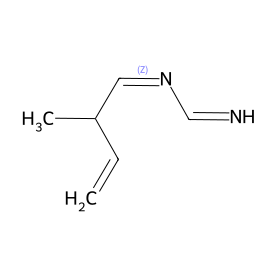 C=CC(C)/C=N\C=N